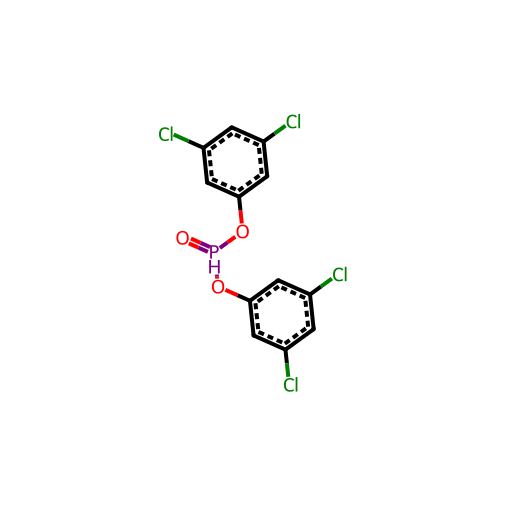 O=[PH](Oc1cc(Cl)cc(Cl)c1)Oc1cc(Cl)cc(Cl)c1